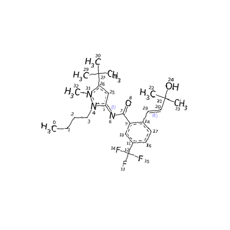 CCCCn1/c(=N/C(=O)c2cc(C(F)(F)F)ccc2/C=C/C(C)(C)O)cc(C(C)(C)C)n1C